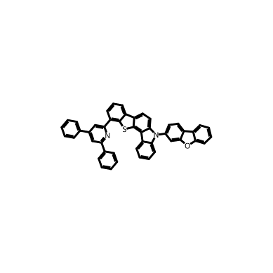 c1ccc(-c2cc(-c3ccccc3)nc(-c3cccc4c3sc3c4ccc4c3c3ccccc3n4-c3ccc4c(c3)oc3ccccc34)c2)cc1